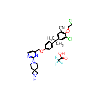 CC(C)(c1ccc(OCc2ccnc(N3CCC4(CC3)CNC4)n2)cc1)c1cc(Cl)c(OCCCl)c(C#N)c1.O=C(O)C(F)(F)F